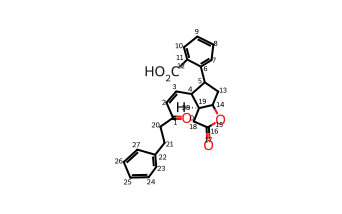 O=C(/C=C\C1C(c2ccccc2C(=O)O)CC2OC(=O)C[C@H]21)CCc1ccccc1